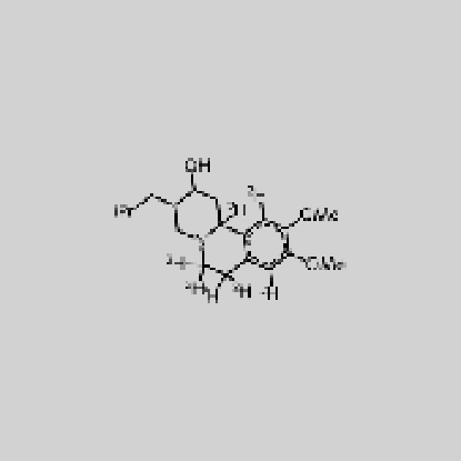 [2H]c1c(OC)c(OC)c([2H])c2c1C1([2H])CC(O)C(CC(C)C)CN1C([2H])([2H])C2([2H])[2H]